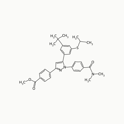 COC(=O)c1ccc(-c2cc(-c3cc(SC(C)C)cc(C(C)(C)C)c3)n(-c3ccc(C(=O)N(C)C)cc3)n2)cc1